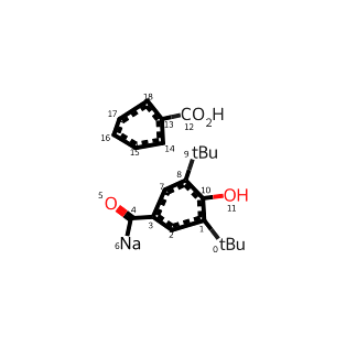 CC(C)(C)c1cc([C](=O)[Na])cc(C(C)(C)C)c1O.O=C(O)c1ccccc1